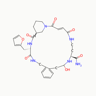 NC(=O)[C@@H]1CCNC(=O)/C=C/C(=O)N2CCC[C@H](C2)C(=O)N[C@@H](Cc2ccco2)C(=O)NCc2ccccc2CC(O)N1